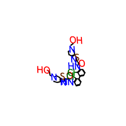 O=C(Nc1cccc(-c2cccc(NC(=O)c3nc4c(s3)CN(CCO)CC4)c2Cl)c1Cl)c1nc2c(s1)CN(CCO)CC2